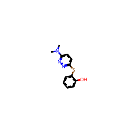 CN(C)c1ccc(Sc2ccccc2O)nn1